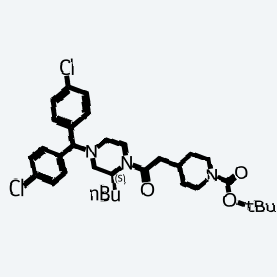 CCCC[C@H]1CN(C(c2ccc(Cl)cc2)c2ccc(Cl)cc2)CCN1C(=O)CC1CCN(C(=O)OC(C)(C)C)CC1